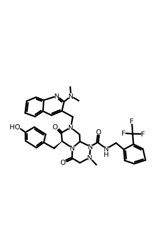 CN(C)c1nc2ccccc2cc1CN1CC2N(C(=O)CN(C)N2C(=O)NCc2ccccc2C(F)(F)F)[C@@H](Cc2ccc(O)cc2)C1=O